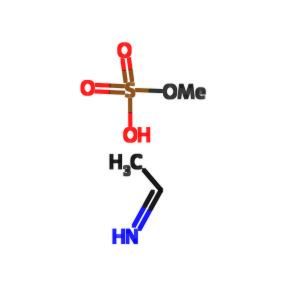 CC=N.COS(=O)(=O)O